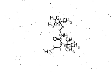 CCCC(C(=O)NCCC(C)(C)C)C(C)(C)C